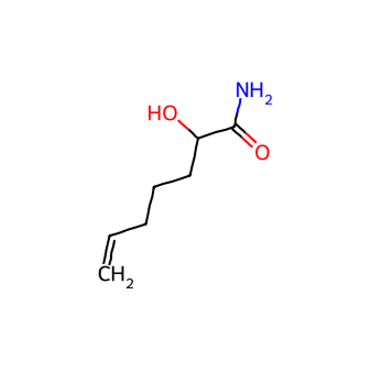 C=CCCCC(O)C(N)=O